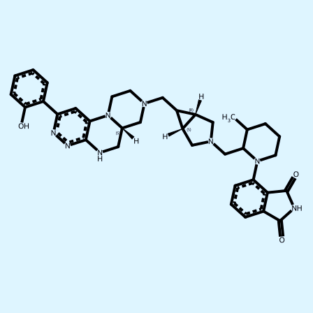 CC1CCCN(c2cccc3c2C(=O)NC3=O)C1CN1C[C@@H]2C(CN3CCN4c5cc(-c6ccccc6O)nnc5NC[C@H]4C3)[C@@H]2C1